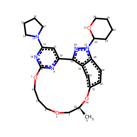 C[C@H]1COCCCOc2nc(cc(N3CCCC3)n2)-c2nn(C3CCCCO3)c3ccc(cc23)O1